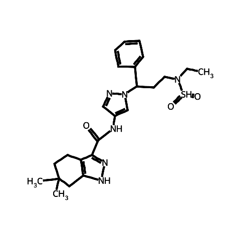 CCN(CCC(c1ccccc1)n1cc(NC(=O)c2n[nH]c3c2CCC(C)(C)C3)cn1)[SH](=O)=O